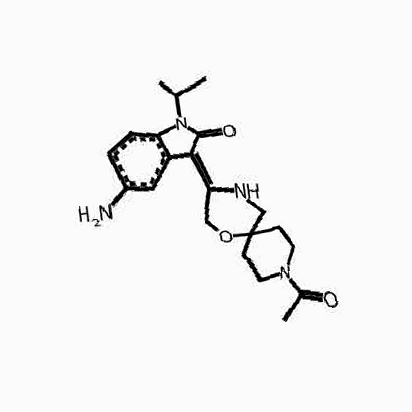 CC(=O)N1CCC2(CC1)CN/C(=C1\C(=O)N(C(C)C)c3ccc(N)cc31)CO2